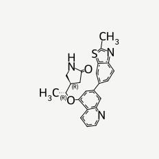 Cc1nc2ccc(-c3cc(O[C@H](C)[C@H]4CNC(=O)C4)c4cccnc4c3)cc2s1